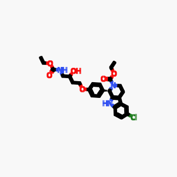 CCOC(=O)NCC(O)CCOc1ccc([C@H]2c3[nH]c4ccc(Cl)cc4c3CCN2C(=O)OCC)cc1